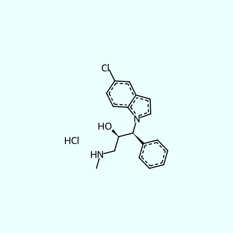 CNC[C@@H](O)[C@H](c1ccccc1)n1ccc2cc(Cl)ccc21.Cl